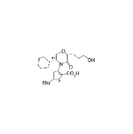 CC(C)(C)c1cc(N2C(=O)C(CCCO)OC[C@H]2C2CCCCC2)c(C(=O)O)s1